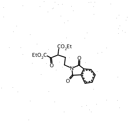 CCOC(=O)C(=O)C(CCN1C(=O)c2ccccc2C1=O)C(=O)OCC